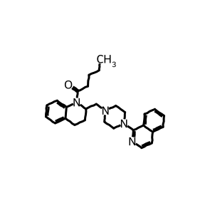 CCCCC(=O)N1c2ccccc2CCC1CN1CCN(c2nccc3ccccc23)CC1